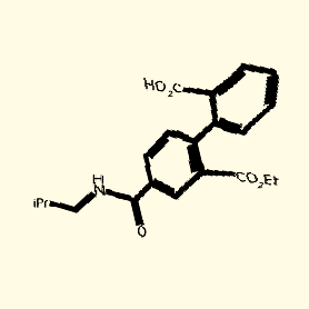 CCOC(=O)c1cc(C(=O)NCC(C)C)ccc1-c1ccccc1C(=O)O